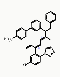 C=C/C(=C\C=C(/C)C(Cc1ccccc1)c1cccc(-c2ccc(C(=O)O)cc2)c1)c1cc(Cl)ccc1-n1cnnn1